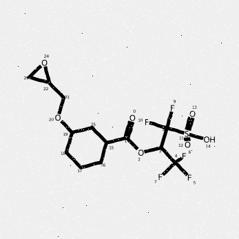 O=C(OC(C(F)(F)F)C(F)(F)S(=O)(=O)O)C1CCCC(OCC2CO2)C1